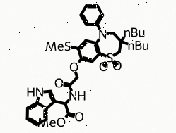 CCCCC1(CCCC)CN(c2ccccc2)c2cc(SC)c(OCC(=O)NC(C(=O)OC)c3c[nH]c4ccccc34)cc2S(=O)(=O)C1